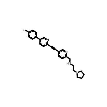 Clc1ccc(-c2ccc(C#Cc3ccc(CNCCN4CCCC4)nc3)nc2)cc1